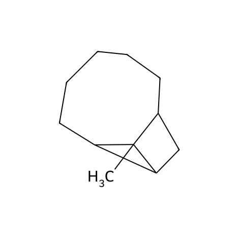 CC12C3CCCCCC1C2C3